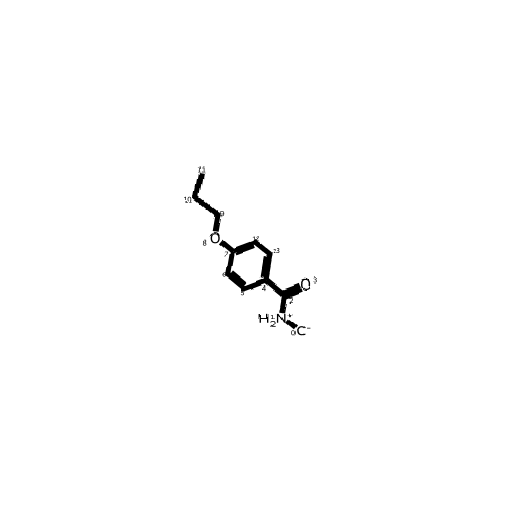 [CH2-][NH2+]C(=O)c1ccc(OCCC)cc1